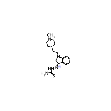 CN1CCN(CCN2C/C(=N\NC(N)=S)c3ccccc32)CC1